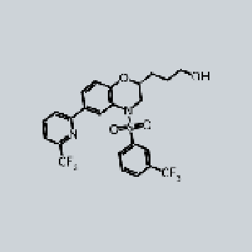 O=S(=O)(c1cccc(C(F)(F)F)c1)N1C[C@H](CCCO)Oc2ccc(-c3cccc(C(F)(F)F)n3)cc21